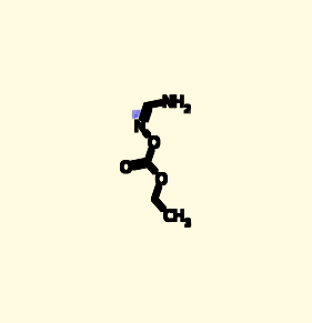 CCOC(=O)O/N=C\N